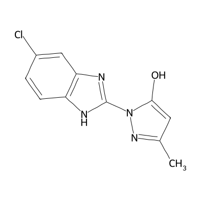 Cc1cc(O)n(-c2nc3cc(Cl)ccc3[nH]2)n1